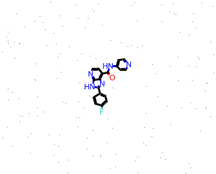 O=C(Nc1ccncc1)c1ccnc2[nH]c(-c3ccc(F)cc3)nc12